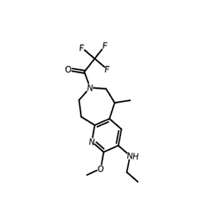 CCNc1cc2c(nc1OC)CCN(C(=O)C(F)(F)F)CC2C